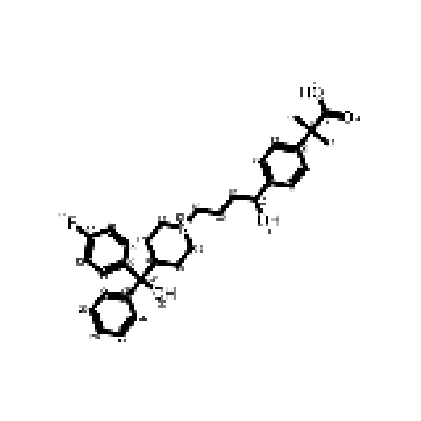 CC(C)(C(=O)O)c1ccc(C(O)CCCN2CCC(C(O)(c3ccccc3)c3ccc(F)cc3)CC2)cc1